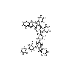 c1ccc(-c2ccc(-c3nc(-c4ccc(-n5c6ccccc6c6c7c8ccccc8n8c9cc%10ccccc%10cc9c(cc65)c78)cc4)nc4c3oc3ccccc34)cc2)cc1